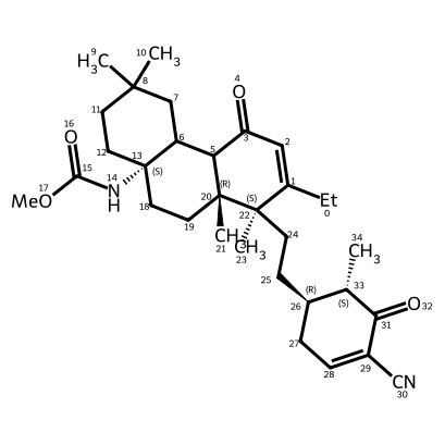 CCC1=CC(=O)C2C3CC(C)(C)CC[C@]3(NC(=O)OC)CC[C@@]2(C)[C@]1(C)CC[C@@H]1CC=C(C#N)C(=O)[C@H]1C